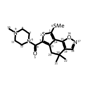 CSc1sc(C(=O)N2CCN(C)CC2)c2c1-c1oncc1C(C)(C)C2